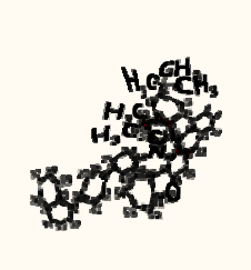 CC(C)(C)c1cc(-c2cccc3cccc(-c4ccccc4N(c4ccc(-c5ccc(-c6cccc7ccccc67)cc5)cc4)c4cccc5oc6ccccc6c45)c23)cc(C(C)(C)C)c1